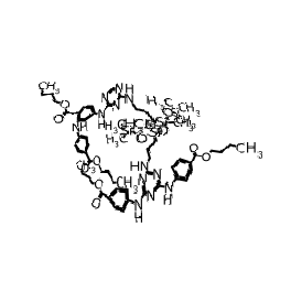 CCCCOC(=O)c1ccc(Nc2nc(NCCC[Si](C)(O[Si](C)(C)C)O[Si](C)(CCCNc3ncnc(Nc4ccc(C(=O)OCCCC)c(Nc5ccc(C(=O)OCCCC)cc5)c4)n3)O[Si](C)(C)C)nc(Nc3ccc(C(=O)OCCCC)cc3)n2)cc1